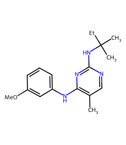 CCC(C)(C)Nc1ncc(C)c(Nc2cccc(OC)c2)n1